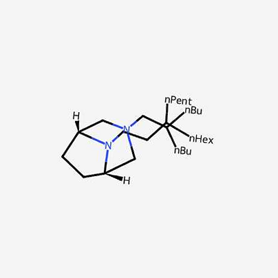 CCCCCCC(CCCCC)CCN1[C@@H]2CC[C@H]1CN(CC(CCCC)CCCC)C2